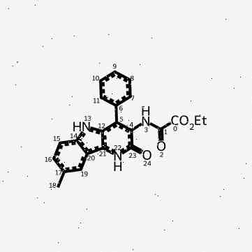 CCOC(=O)C(=O)Nc1c(-c2ccccc2)c2[nH]c3ccc(C)cc3c2[nH]c1=O